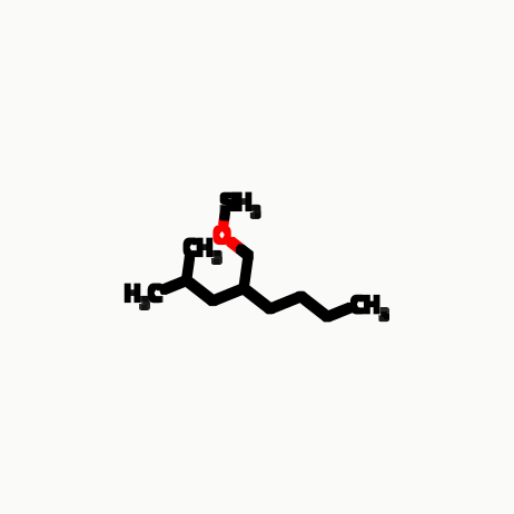 CCCCC(CO[SiH3])CC(C)C